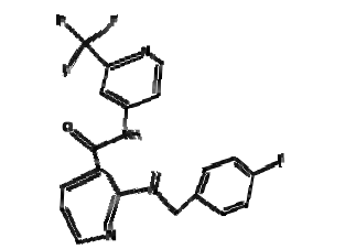 O=C(Nc1ccnc(C(F)(F)F)c1)c1cccnc1NCc1ccc(F)cc1